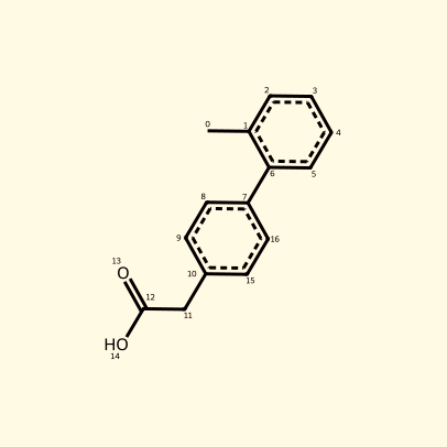 Cc1ccccc1-c1ccc(CC(=O)O)cc1